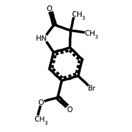 COC(=O)c1cc2c(cc1Br)C(C)(C)C(=O)N2